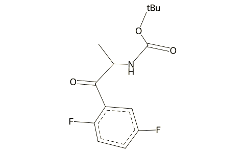 CC(NC(=O)OC(C)(C)C)C(=O)c1cc(F)ccc1F